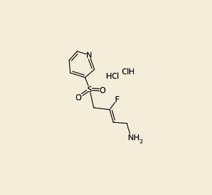 Cl.Cl.NC/C=C(\F)CS(=O)(=O)c1cccnc1